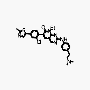 CCn1c(=O)c(-c2ccc(-c3cnc(C)s3)cc2Cl)cc2cnc(Nc3ccc(CCN(C)C)cc3)nc21